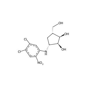 O=[N+]([O-])c1cc(Cl)c(Cl)cc1N[C@@H]1C[C@H](CO)[C@@H](O)[C@H]1O